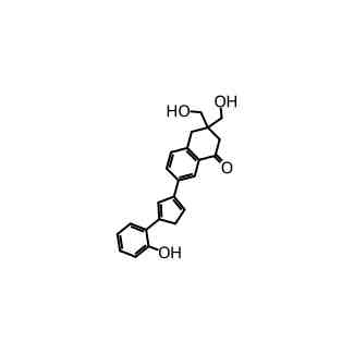 O=C1CC(CO)(CO)Cc2ccc(C3=CCC(c4ccccc4O)=C3)cc21